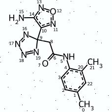 Cc1ccc(NC(=O)CC2(c3nonc3N)N=NN=N2)c(C)c1